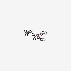 c1cc(-c2ccc(N(c3ccc(-c4ccc5c(ccc6ccccc65)c4)cc3)c3ccccc3-c3ccc4oc5c6ccccc6ccc5c4c3)cc2)cc(-n2c3ccccc3c3ccccc32)c1